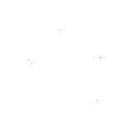 CCC(C#N)C(O)COC(C)=O